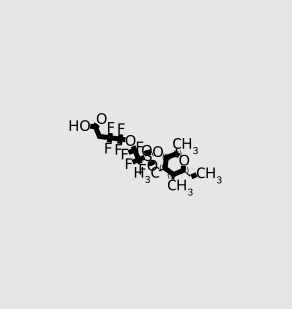 CC[C@H]1O[C@@H](C)[C@@H](OS(=O)(=O)C(F)(F)C(F)(F)OC(F)(F)C(F)(F)CC(=O)O)[C@@H](C)[C@@H]1C